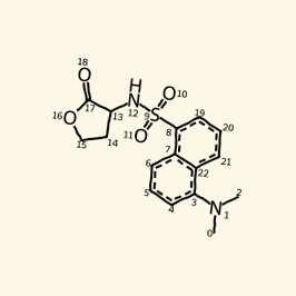 CN(C)c1cccc2c(S(=O)(=O)NC3CCOC3=O)cccc12